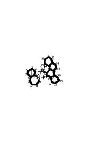 C1=CNc2ccccc2C=C1.CN(C)C1C=c2ccccc2=c2ccc3c(c21)CCCC=3